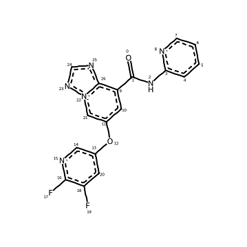 O=C(Nc1ccccn1)c1cc(Oc2cnc(F)c(F)c2)cn2ncnc12